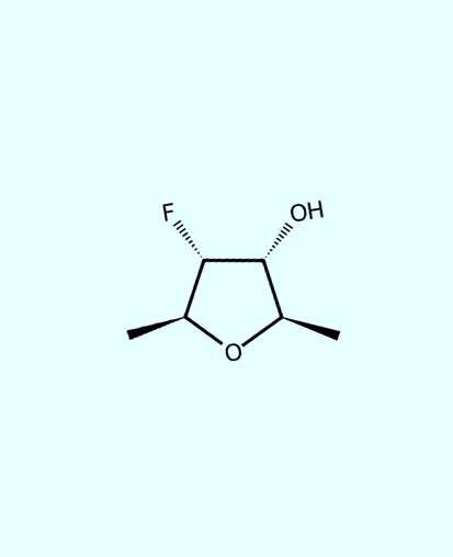 C[C@@H]1O[C@H](C)[C@@H](O)[C@H]1F